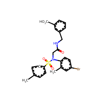 Cc1ccc(S(=O)(=O)N(CC(=O)NCc2cccc(C(=O)O)c2)c2ccc(Br)cc2C)cc1